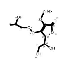 CCCCCCOC1=C(OOCC(C)O)[C@@H]([C@@H](O)CO)OC1=O